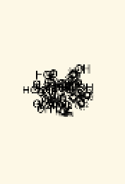 CCCC[C@H](N)C(=O)N[C@@H](CCC(=O)O)C(=O)N[C@@H](CCC(=O)O)C(=O)N[C@@H](CCC(=O)O)C(=O)N[C@@H](CCCCNC(=O)OC(C)(C)C)C(=O)N[C@@H](Cc1ccc(O)cc1)C(=O)N[C@@H](CSC(c1ccccc1)(c1ccccc1)c1ccccc1)C(=O)O